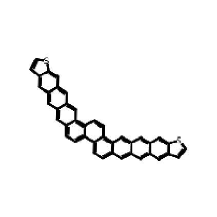 c1cc2cc3cc4cc5ccc6c(ccc7c8cc9cc%10cc%11sccc%11cc%10cc9cc8ccc76)c5cc4cc3cc2s1